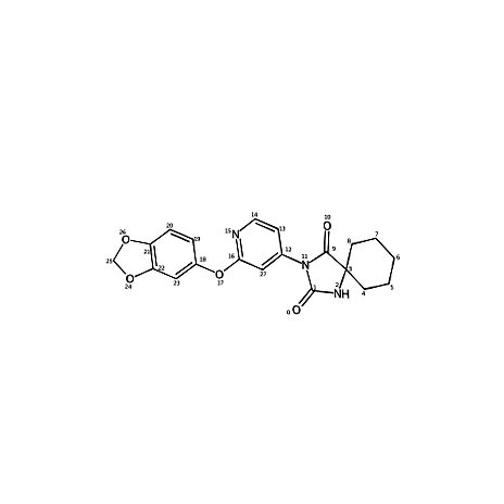 O=C1NC2(CCCCC2)C(=O)N1c1ccnc(Oc2ccc3c(c2)OCO3)c1